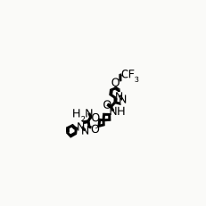 NC(=O)c1cn(-c2ccccc2)nc1O[C@H]1CC2(C[C@H](NC(=O)c3cnn4cc(OCCC(F)(F)F)ccc34)C2)C1